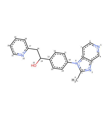 Cc1nc2cnccc2n1-c1ccc(C(O)Cc2ccccn2)cc1